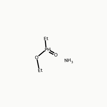 CCO[PH](=O)CC.N